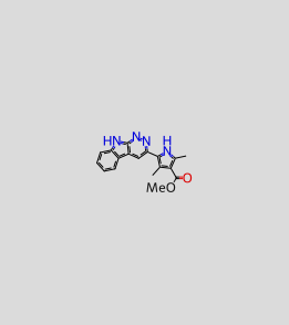 COC(=O)c1c(C)[nH]c(-c2cc3c(nn2)[nH]c2ccccc23)c1C